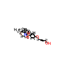 CC(C)(C)[C@@]1(C(=O)O)N(S(=O)(=O)c2ccc(OCC#CCO)cc2)CCSC1(C)C